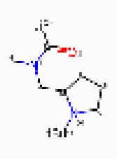 CC(C)C(=O)N(C)CC1CCCN1C(C)(C)C